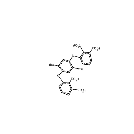 CC(C)(C)c1cc(Oc2cccc(C(=O)O)c2C(=O)O)c(C(C)(C)C)cc1Oc1cccc(C(=O)O)c1C(=O)O